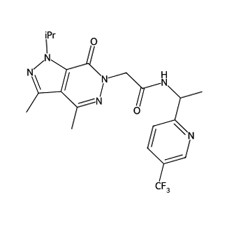 Cc1nn(CC(=O)NC(C)c2ccc(C(F)(F)F)cn2)c(=O)c2c1c(C)nn2C(C)C